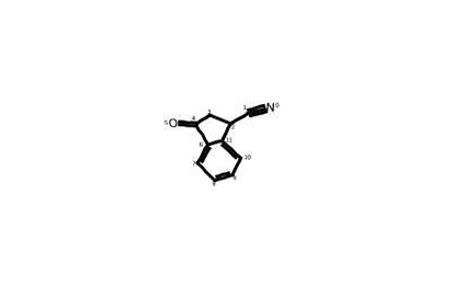 N#CC1CC(=O)c2ccccc21